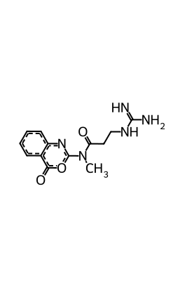 CN(C(=O)CCNC(=N)N)c1nc2ccccc2c(=O)o1